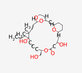 C=CC[C@@]1(O)CCC[C@H](CO)OC(=O)C[C@H](O)C[C@@H]2CCC[C@H](C[C@@H]3CCO[C@H](/C=C/C1(C)C)O3)O2